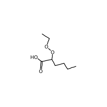 CCCCC(OOCC)C(=O)O